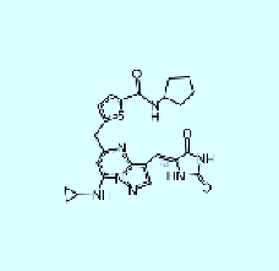 O=C1NC(=O)/C(=C/c2cnn3c(NC4CC4)cc(Cc4ccc(C(=O)NC5CCCC5)s4)nc23)N1